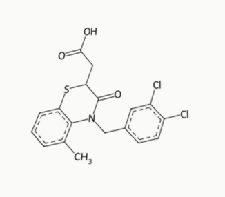 Cc1cccc2c1N(Cc1ccc(Cl)c(Cl)c1)C(=O)C(CC(=O)O)S2